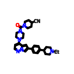 CCN1CCC(c2ccc(-c3cc4c(N5CCN(C(=O)N6CCC(C#N)CC6)CC5)ccnn4c3)cc2)CC1